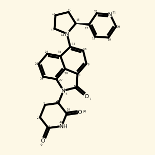 O=C1CCC(N2C(=O)c3ccc(N4CCC[C@H]4c4cccnc4)c4cccc2c34)C(=O)N1